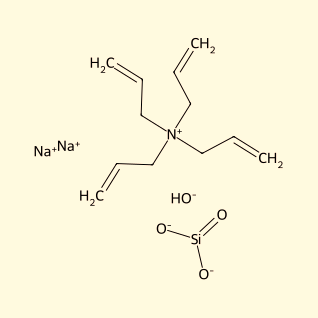 C=CC[N+](CC=C)(CC=C)CC=C.O=[Si]([O-])[O-].[Na+].[Na+].[OH-]